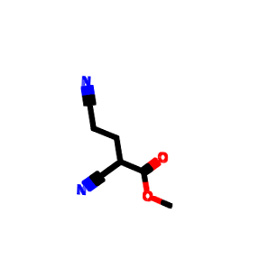 COC(=O)C(C#N)CCC#N